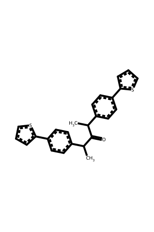 CC(C(=O)C(C)c1ccc(-c2cccs2)cc1)c1ccc(-c2cccs2)cc1